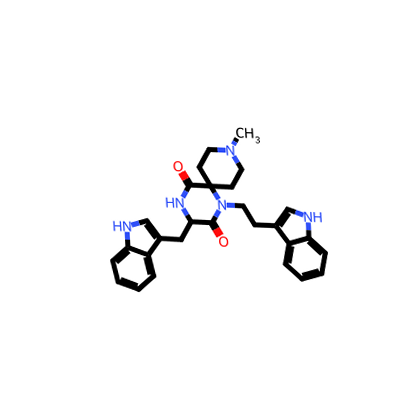 CN1CCC2(CC1)C(=O)NC(Cc1c[nH]c3ccccc13)C(=O)N2CCc1c[nH]c2ccccc12